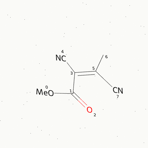 COC(=O)/C(C#N)=C(/C)C#N